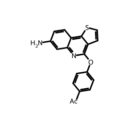 CC(=O)c1ccc(Oc2nc3cc(N)ccc3c3sccc23)cc1